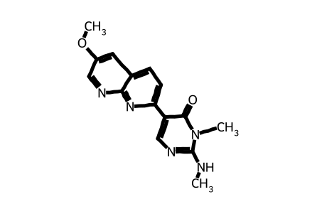 CNc1ncc(-c2ccc3cc(OC)cnc3n2)c(=O)n1C